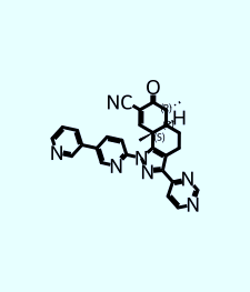 C[C@H]1C(=O)C(C#N)=C[C@@]2(C)c3c(c(-c4ccncn4)nn3-c3ccc(-c4cccnc4)cn3)CC[C@H]12